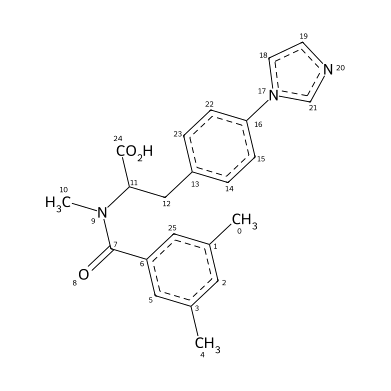 Cc1cc(C)cc(C(=O)N(C)C(Cc2ccc(-n3ccnc3)cc2)C(=O)O)c1